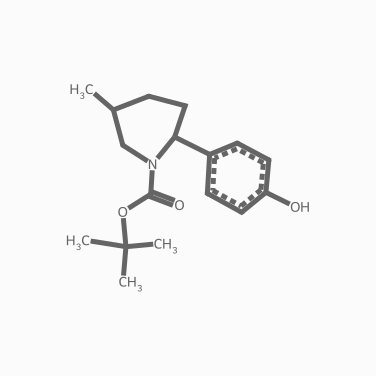 CC1CCC(c2ccc(O)cc2)N(C(=O)OC(C)(C)C)C1